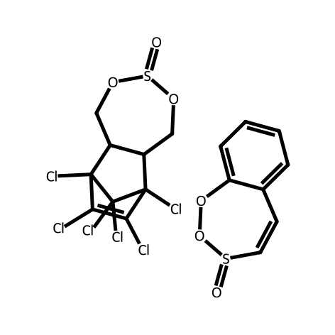 O=S1C=Cc2ccccc2OO1.O=S1OCC2C(CO1)C1(Cl)C(Cl)=C(Cl)C2(Cl)C1(Cl)Cl